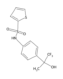 CC(O)(c1ccc(NS(=O)(=O)c2cccs2)cc1)C(F)(F)F